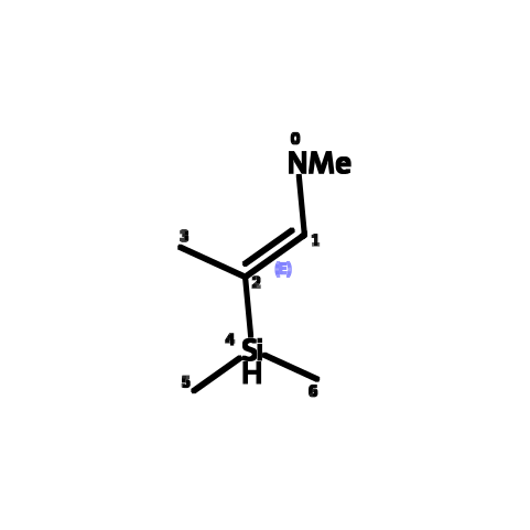 CN/C=C(\C)[SiH](C)C